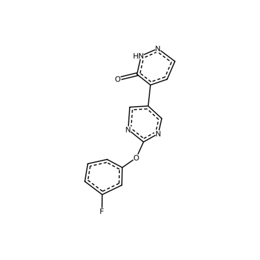 O=c1[nH]nccc1-c1cnc(Oc2cccc(F)c2)nc1